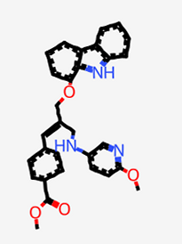 COC(=O)c1ccc(C=C(CNc2ccc(OC)nc2)COc2cccc3c2[nH]c2ccccc23)cc1